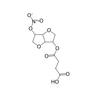 O=C(O)CCC(=O)OC1COC2C(O[N+](=O)[O-])COC12